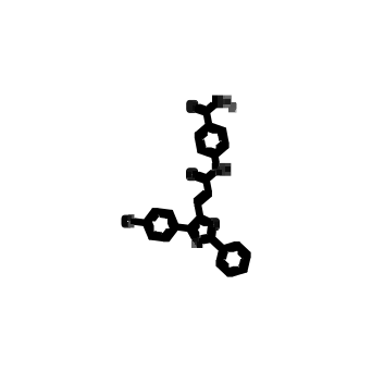 NC(=O)c1ccc(NC(=O)C=Cc2oc(-c3ccccc3)nc2-c2ccc(Cl)cc2)cc1